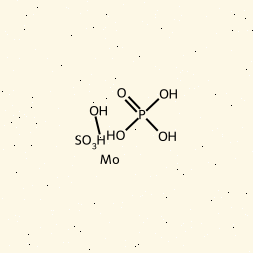 O=P(O)(O)O.O=S(=O)(O)O.[Mo]